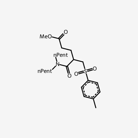 CCCCCN(CCCCC)C(=O)C(CCC(=O)OC)CS(=O)(=O)c1ccc(C)cc1